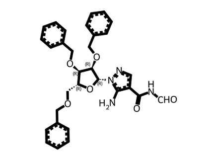 Nc1c(C(=O)NC=O)cnn1[C@@H]1O[C@H](COCc2ccccc2)[C@@H](OCc2ccccc2)[C@H]1OCc1ccccc1